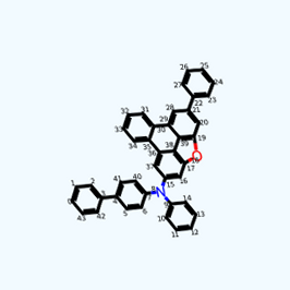 c1ccc(-c2ccc(N(c3ccccc3)c3cc4oc5cc(-c6ccccc6)cc6c7ccccc7c(c3)c4c56)cc2)cc1